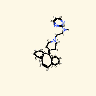 CN(CCN1CCC(=C2c3ccccc3C=Cc3ccccc32)CC1)c1ncccn1